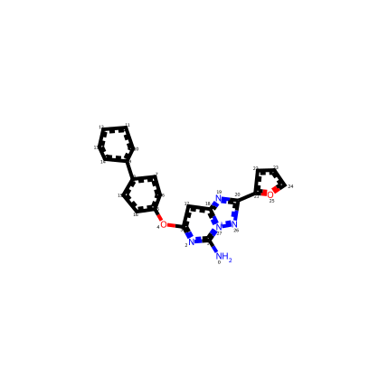 Nc1nc(Oc2ccc(-c3ccccc3)cc2)cc2nc(-c3ccco3)nn12